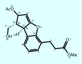 COC(=O)CCc1cccc2c1OC1=CC(OC(C)=O)[C@@H](CO)[C@@H]12